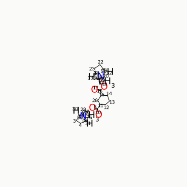 CN1[C@@H]2CC[C@H]1CC(OC(=O)C1CCCC(C(=O)OC3C[C@H]4CC[C@@H](C3)N4C)C1)C2